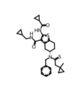 CC1(CC(=S)N(Cc2ccccc2)[C@H]2CCc3sc(NC(=O)C4CC4)c(C(=O)NCC4CC4)c3C2)CC1